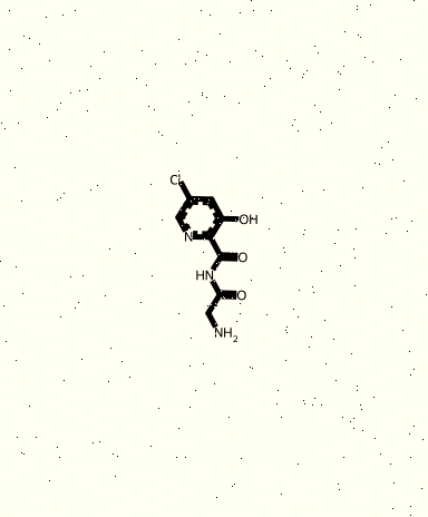 NCC(=O)NC(=O)c1ncc(Cl)cc1O